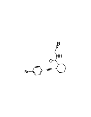 N#CCNC(=O)C1CCCCC1C#Cc1ccc(Br)cc1